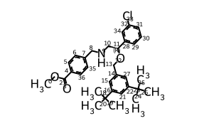 COC(=O)c1ccc(CNC[C@H](OCc2cc(C(C)(C)C)cc(C(C)(C)C)c2)c2cccc(Cl)c2)cc1